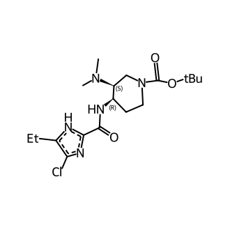 CCc1[nH]c(C(=O)N[C@@H]2CCN(C(=O)OC(C)(C)C)C[C@@H]2N(C)C)nc1Cl